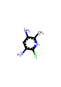 Cc1nc(Cl)c(N)cc1N